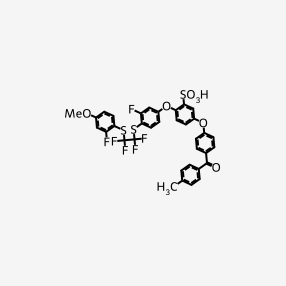 COc1ccc(SC(F)(F)C(F)(F)Sc2ccc(Oc3ccc(Oc4ccc(C(=O)c5ccc(C)cc5)cc4)cc3S(=O)(=O)O)cc2F)c(F)c1